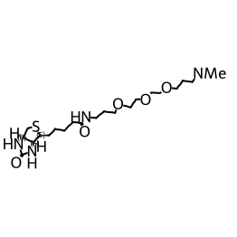 CNCCCOCCOCCOCCCNC(=O)CCCC[C@@H]1SC[C@@H]2NC(=O)N[C@@H]21